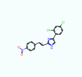 O=[N+]([O-])c1ccc(/C=C/c2nc(-c3ccc(Cl)cc3Cl)c[nH]2)cc1